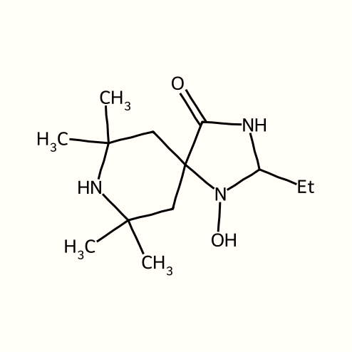 CCC1NC(=O)C2(CC(C)(C)NC(C)(C)C2)N1O